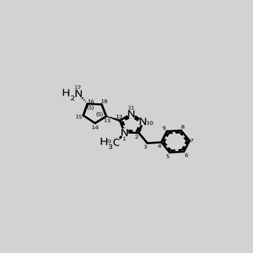 Cn1c(Cc2ccccc2)nnc1[C@H]1CC[C@H](N)C1